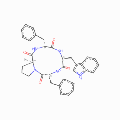 O=C1N[C@@H](Cc2ccccc2)C(=O)N2CCC[C@H]2C(=O)N[C@H](Cc2ccccc2)C(=O)N[C@H]1Cc1c[nH]c2ccccc12